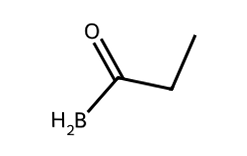 BC(=O)CC